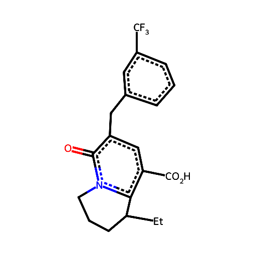 CCC1CCCn2c1c(C(=O)O)cc(Cc1cccc(C(F)(F)F)c1)c2=O